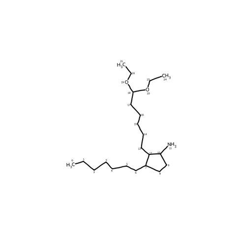 CCCCCCCC1CCC(N)C1CCCCCC(OCC)OCC